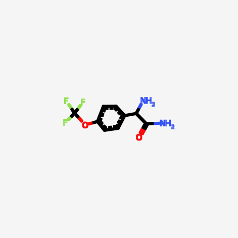 NC(=O)C(N)c1ccc(OC(F)(F)F)cc1